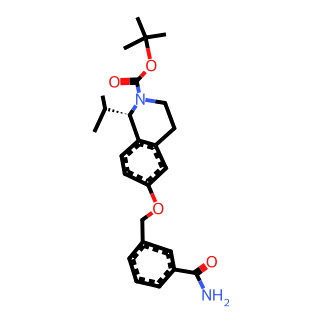 CC(C)[C@H]1c2ccc(OCc3cccc(C(N)=O)c3)cc2CCN1C(=O)OC(C)(C)C